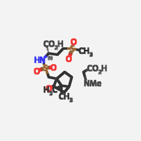 CC1(C)C2CCC1(CS(=O)(=O)N[C@@H](CCS(C)(=O)=O)C(=O)O)C(=O)C2.CNCC(=O)O